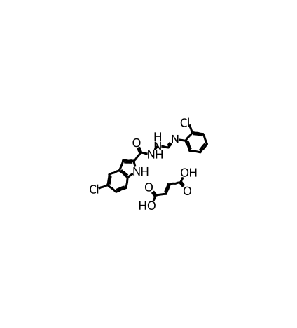 O=C(NNC=Nc1ccccc1Cl)c1cc2cc(Cl)ccc2[nH]1.O=C(O)C=CC(=O)O